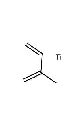 C=CC(=C)C.[Ti]